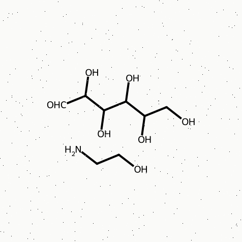 NCCO.O=CC(O)C(O)C(O)C(O)CO